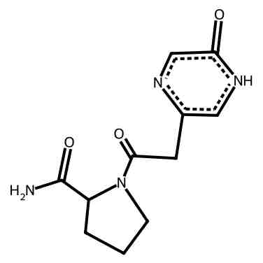 NC(=O)C1CCCN1C(=O)Cc1c[nH]c(=O)cn1